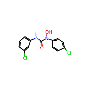 O=C(Nc1cccc(Cl)c1)N(O)c1ccc(Cl)cc1